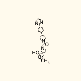 COCC1(C(=O)O)CCN(CC(=O)N2CC=C(c3ccc(-c4ncccn4)cc3)CC2)C1